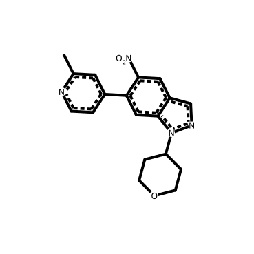 Cc1cc(-c2cc3c(cnn3C3CCOCC3)cc2[N+](=O)[O-])ccn1